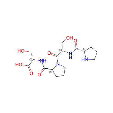 O=C(O)[C@H](CO)NC(=O)[C@@H]1CCCN1C(=O)[C@H](CO)NC(=O)[C@@H]1CCCN1